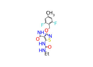 CCNC(=O)Nc1snc(OCc2c(F)cc(C)cc2F)c1C(N)=O